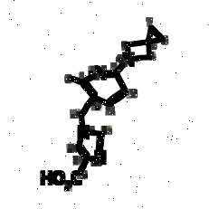 Cc1nc(N2CC3(CC3)C2)ccc1Cn1cnc(C(=O)O)c1